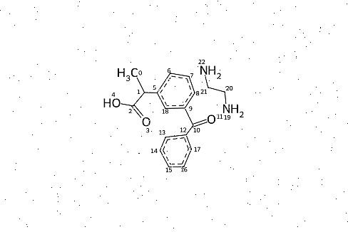 CC(C(=O)O)c1cccc(C(=O)c2ccccc2)c1.NCCN